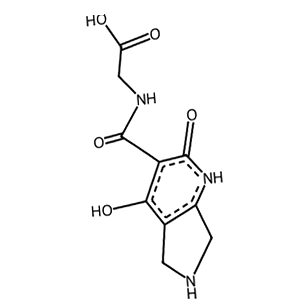 O=C(O)CNC(=O)c1c(O)c2c([nH]c1=O)CNC2